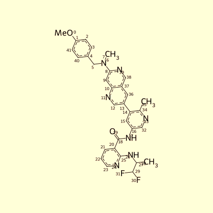 COc1ccc(CN(C)c2cc3ncc(-c4cc(NC(=O)c5cccnc5NC(C)C(F)F)cnc4C)cc3cn2)cc1